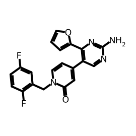 Nc1ncc(-c2ccn(Cc3cc(F)ccc3F)c(=O)c2)c(-c2ccco2)n1